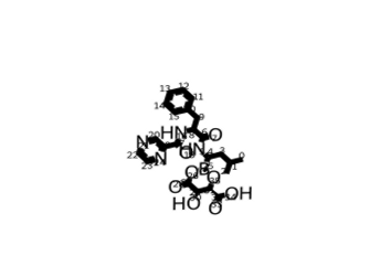 CC(C)CC(NC(=O)C(Cc1ccccc1)NC(=O)c1cnccn1)B1OC(=O)[C@H](O)[C@H](C(=O)O)O1